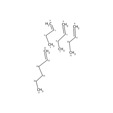 C=CCC.C=CCC.C=CCC.C=CCCCC